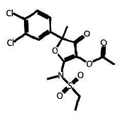 CCS(=O)(=O)N(C)C1=C(OC(C)=O)C(=O)C(C)(c2ccc(Cl)c(Cl)c2)O1